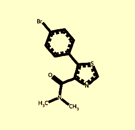 CN(C)C(=O)c1ncsc1-c1ccc(Br)cc1